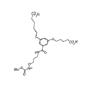 CC(C)(C)OC(=O)NOCCCNC(=O)c1cc(SCCCCC(=O)O)cc(SCCCCC(=O)O)c1